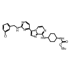 CC(C)(C)OC(=O)NC1CCC(Nc2nccn3c(-c4ccnc(NCc5cccc(Cl)c5)n4)cnc23)CC1